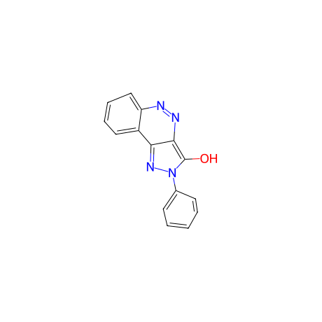 Oc1c2nnc3ccccc3c2nn1-c1ccccc1